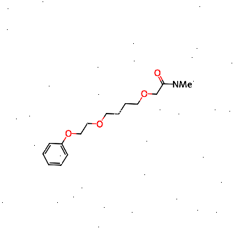 CNC(=O)COCCCCOCCOc1ccccc1